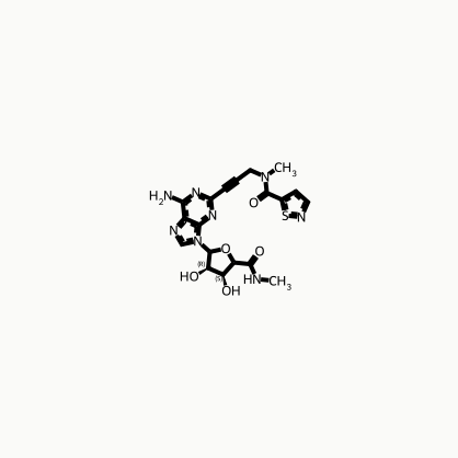 CNC(=O)C1OC(n2cnc3c(N)nc(C#CCN(C)C(=O)c4ccns4)nc32)[C@H](O)[C@@H]1O